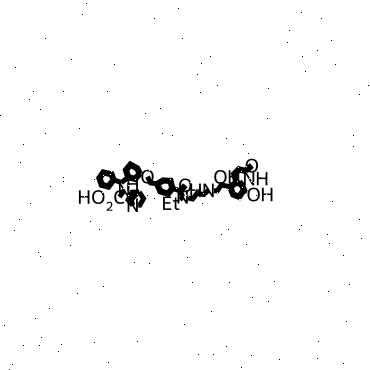 CCN(CCCNC[C@@H](O)c1ccc(O)c2[nH]c(=O)ccc12)C(=O)c1ccc(COc2cccc(C(c3ccccc3)N(C(=O)O)[C@H]3CN4CCC3CC4)c2)cc1